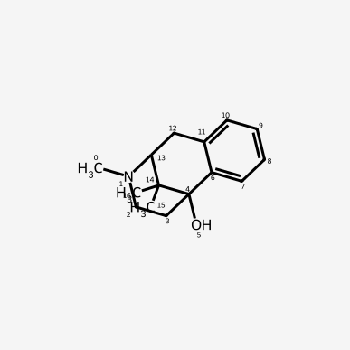 CN1CCC2(O)c3ccccc3CC1C2(C)C